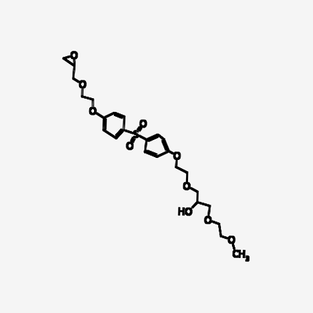 COCCOCC(O)COCCOc1ccc(S(=O)(=O)c2ccc(OCCOCC3CO3)cc2)cc1